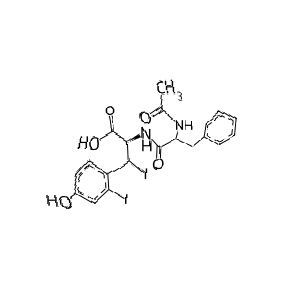 CC(=O)NC(Cc1ccccc1)C(=O)N[C@H](C(=O)O)C(I)c1ccc(O)cc1I